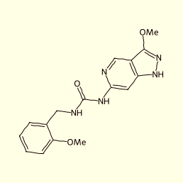 COc1ccccc1CNC(=O)Nc1cc2[nH]nc(OC)c2cn1